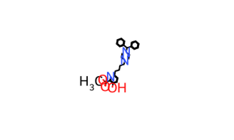 COC(=O)c1nc(CCCCN2CCN(C(c3ccccc3)c3ccccc3)CC2)ccc1O